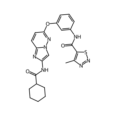 Cc1nnsc1C(=O)Nc1cccc(Oc2ccc3nc(NC(=O)C4CCCCC4)cn3n2)c1